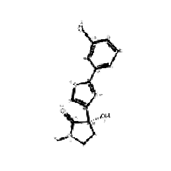 CN1CC[C@](O)(c2csc(-c3cccc(Cl)c3)n2)C1=O